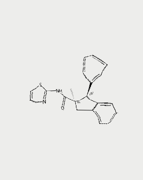 C[C@@]1(C(=O)Nc2nccs2)Cc2cc[c]cc2[C@@H]1c1ccccc1